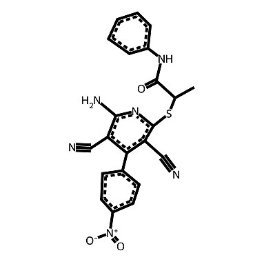 CC(Sc1nc(N)c(C#N)c(-c2ccc([N+](=O)[O-])cc2)c1C#N)C(=O)Nc1ccccc1